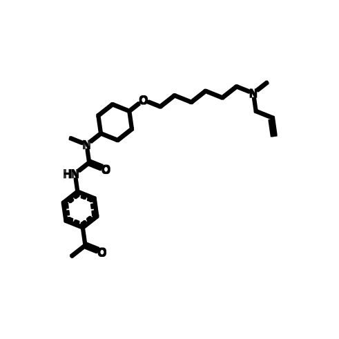 C=CCN(C)CCCCCCOC1CCC(N(C)C(=O)Nc2ccc(C(C)=O)cc2)CC1